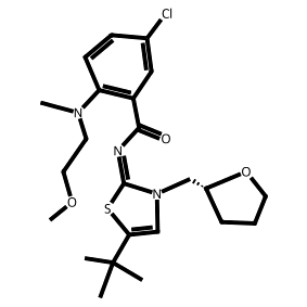 COCCN(C)c1ccc(Cl)cc1C(=O)N=c1sc(C(C)(C)C)cn1C[C@H]1CCCO1